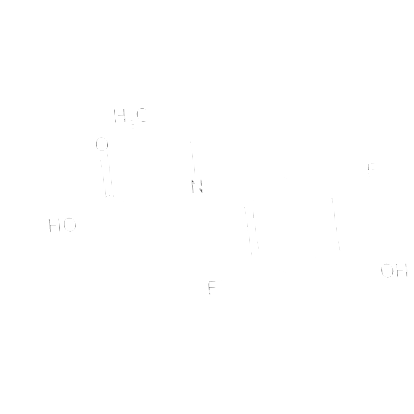 CCN(CC(=O)O)c1cc(F)c(O)cc1F